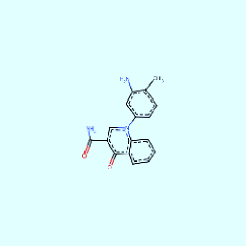 Cc1ccc(-n2cc(C(N)=O)c(=O)c3ccccc32)cc1N